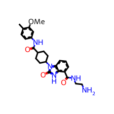 COc1cc(NC(=O)C2CCC(n3c(=O)[nH]c4c(C(=O)NCCN)cccc43)CC2)ccc1C